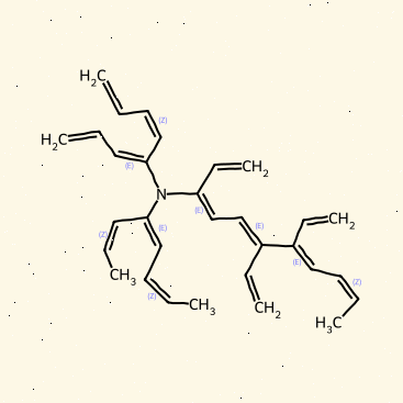 C=C/C=C\C(=C/C=C)N(/C(C=C)=C/C=C(C=C)/C(C=C)=C/C=C\C)C(/C=C\C)=C/C=C\C